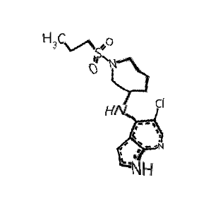 CCCS(=O)(=O)N1CCCC(Nc2c(Cl)cnc3[nH]ccc23)C1